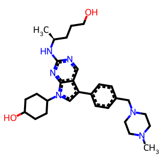 C[C@@H](CCCO)Nc1ncc2c(-c3ccc(CN4CCN(C)CC4)cc3)cn(C3CCC(O)CC3)c2n1